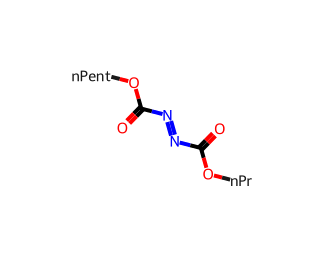 CCCCCOC(=O)/N=N/C(=O)OCCC